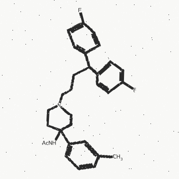 CC(=O)NC1(c2cccc(C)c2)CCN(CCCC(c2ccc(F)cc2)c2ccc(F)cc2)CC1